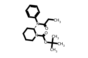 CCC(=O)N(c1ccccc1)[C@H]1CCCCN1C(=O)OC(C)(C)C